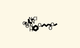 CCOC(=O)CCCCOc1cccc(Nc2nc(Cl)ncc2[N+](=O)[O-])c1